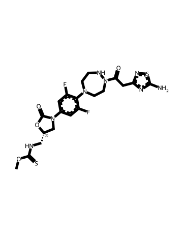 COC(=S)NC[C@H]1CN(c2cc(F)c(N3CCNN(C(=O)Cc4nsc(N)n4)CC3)c(F)c2)C(=O)O1